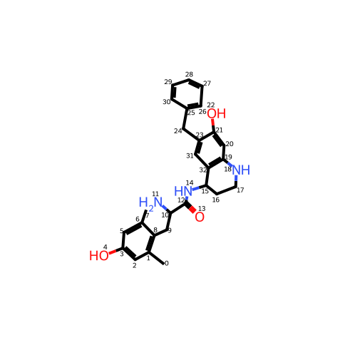 Cc1cc(O)cc(C)c1CC(N)C(=O)NC1CCNc2cc(O)c(Cc3ccccc3)cc21